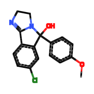 COc1ccc(C2(O)c3cc(Cl)ccc3C3=NCCN32)cc1